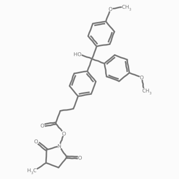 COc1ccc(C(O)(c2ccc(CCC(=O)ON3C(=O)CC(C)C3=O)cc2)c2ccc(OC)cc2)cc1